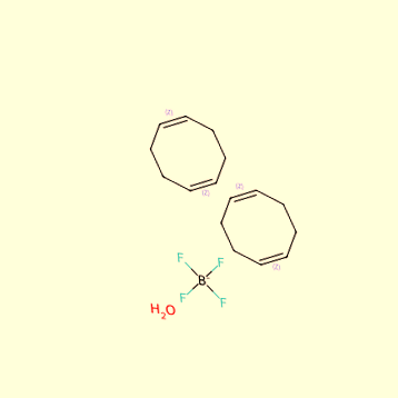 C1=C\CC/C=C\CC/1.C1=C\CC/C=C\CC/1.F[B-](F)(F)F.O